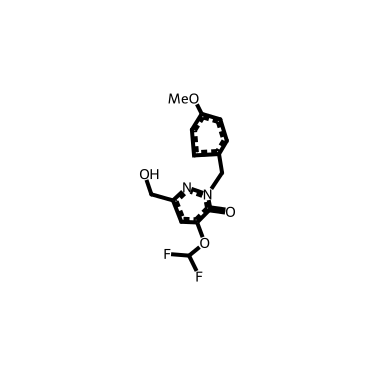 COc1ccc(Cn2nc(CO)cc(OC(F)F)c2=O)cc1